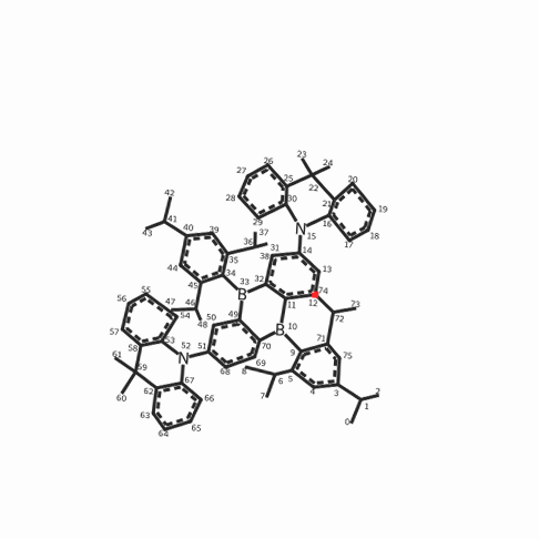 CC(C)c1cc(C(C)C)c(B2c3ccc(N4c5ccccc5C(C)(C)c5ccccc54)cc3B(c3c(C(C)C)cc(C(C)C)cc3C(C)C)c3cc(N4c5ccccc5C(C)(C)c5ccccc54)ccc32)c(C(C)C)c1